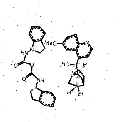 CC[C@@H]1CN2CCC1C[C@@H]2[C@@H](O)c1ccnc2ccc(OC)cc12.O=C(NN1CCc2ccccc21)OC(=O)NN1CCc2ccccc21